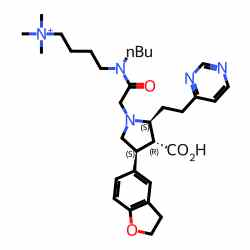 CCCCN(CCCC[N+](C)(C)C)C(=O)CN1C[C@H](c2ccc3c(c2)CCO3)[C@@H](C(=O)O)[C@@H]1CCc1ccncn1